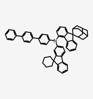 c1ccc(-c2ccc(-c3ccc(N(c4ccc5c(c4)C4(CCCCC4)c4ccccc4-5)c4cccc5c4-c4ccccc4C54C5CC6CC(C5)CC4C6)cc3)cc2)cc1